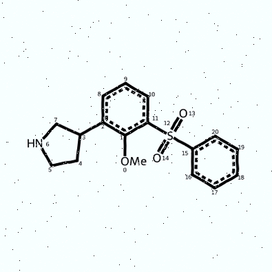 COc1c(C2CCNC2)cccc1S(=O)(=O)c1ccccc1